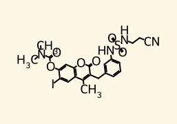 Cc1c(Cc2cccc(NS(=O)(=O)NCCC#N)c2)c(=O)oc2cc(OC(=O)N(C)C)c(I)cc12